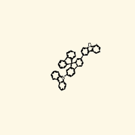 c1ccc2c(c1)-c1ccccc1C21c2cc(-c3ccc4oc5ccccc5c4c3)ccc2-c2ccc(-n3c4ccccc4c4ccccc43)cc21